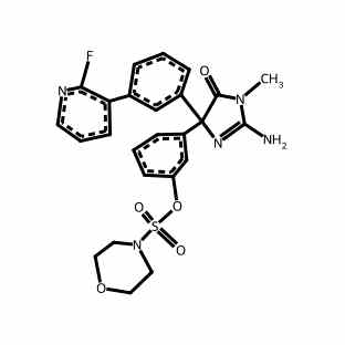 CN1C(=O)C(c2cccc(OS(=O)(=O)N3CCOCC3)c2)(c2cccc(-c3cccnc3F)c2)N=C1N